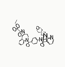 CCOC(=O)c1nc2c(o1)-c1ccccc1N(C(=O)c1ccc(NC(=O)c3cccnc3N3CC4(CCOCC4)C3)cc1)CC2